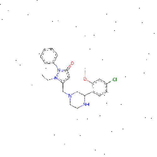 CCn1c(CN2CCNC(c3ccc(Cl)cc3OC)C2)cc(=O)n1-c1ccccc1